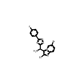 CCc1nc2ccc(Br)cn2c1C(N)c1nc(-c2ccc(F)cc2)ns1